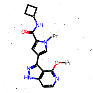 CC(C)Oc1nccc2[nH]nc(-c3cc(C(=O)NC4CCC4)n(C(C)C)c3)c12